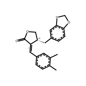 Cc1ccc(/C=C2/C(=O)OC[C@@H]2Cc2ccc3c(c2)OCO3)cc1C